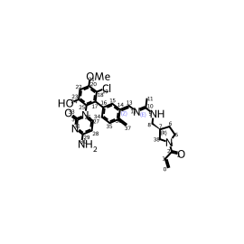 C=CC(=O)N1CC[C@H](CN/C(C)=N/C=c2/cc(-c3c(Cl)c(OC)cc(O)c3-n3ccc(N)nc3=O)ccc2=C)C1